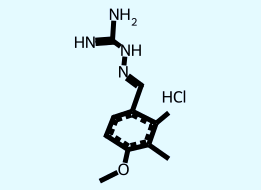 COc1ccc(C=NNC(=N)N)c(C)c1C.Cl